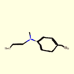 COCCN(C)[C@H]1CC=C(C(C)(C)C)CC1